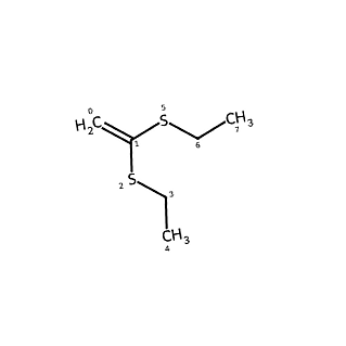 C=C(SCC)SCC